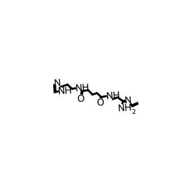 C=C/N=C(\N)CCNC(=O)CCCC(=O)NCCc1ncc[nH]1